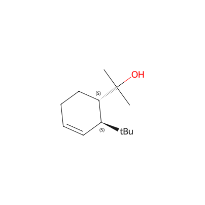 CC(C)(C)[C@H]1C=CCC[C@@H]1C(C)(C)O